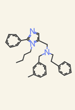 CCCCn1c(CN(CCc2ccccc2)Cc2cccc(C)c2)cnc1-c1ccccc1